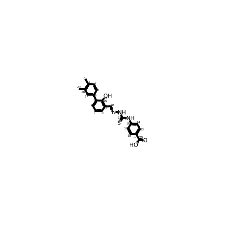 Cc1ccc(-c2cccc(C=NNC(=S)Nc3ccc(C(=O)O)cc3)c2O)cc1C